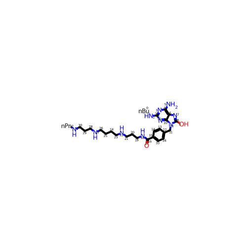 CCCCNc1nc(N)c2nc(O)n(Cc3ccc(C(=O)NCCCNCCCCNCCCNCCC)cc3)c2n1